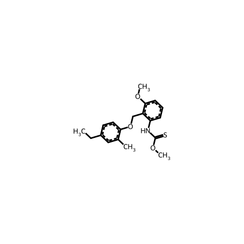 CCc1ccc(OCc2c(NC(=S)OC)cccc2OC)c(C)c1